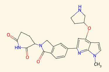 Cn1ccc2c(OC3CCNC3)cc(-c3ccc4c(c3)CN(C3CCC(=O)NC3=O)C4=O)nc21